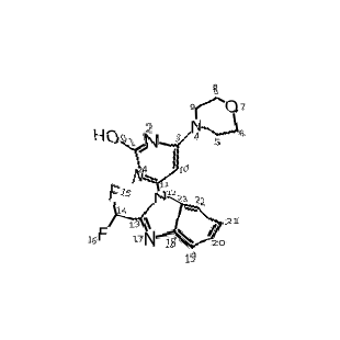 Oc1nc(N2CCOCC2)cc(-n2c(C(F)F)nc3ccccc32)n1